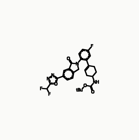 CC(C)(C)OC(=O)NC1CC=C(c2cc(F)ccc2N2Cc3ccc(-c4nnc(C(F)F)o4)cc3C2=O)CC1